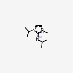 CC(C)/N=c1\n(C)ccn1C(C)C